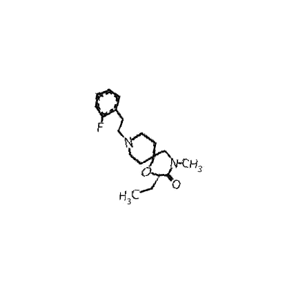 CC[C@H]1OC2(CCN(CCc3ccccc3F)CC2)CN(C)C1=O